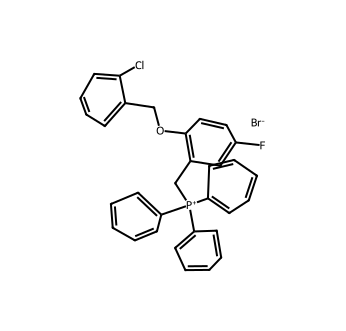 Fc1ccc(OCc2ccccc2Cl)c(C[P+](c2ccccc2)(c2ccccc2)c2ccccc2)c1.[Br-]